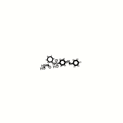 O=C(NO)[C@@H]1CCCC[C@H]1NS(=O)(=O)c1ccc(N=Nc2ccccc2)cc1